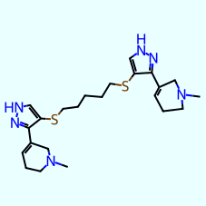 CN1CCC=C(c2n[nH]cc2SCCCCCSc2c[nH]nc2C2=CCCN(C)C2)C1